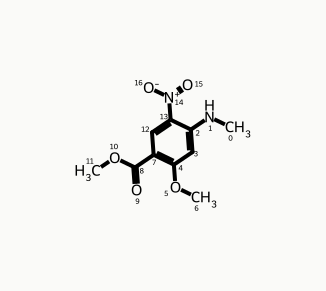 CNc1cc(OC)c(C(=O)OC)cc1[N+](=O)[O-]